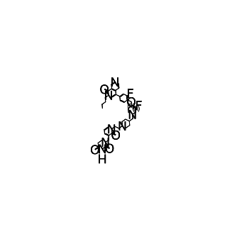 CCCCn1cc(-c2ccc(O[C@@H]3CCN(CC4CCN(CCn5cccc(CN6CCC(=O)NC6=O)c5=O)CC4)C[C@H]3F)c(F)c2)c2ccncc2c1=O